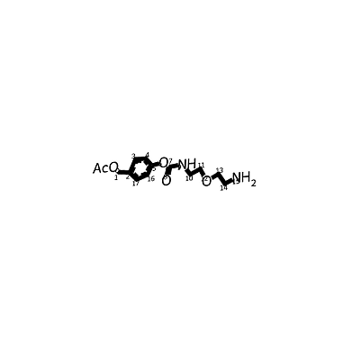 CC(=O)OCc1ccc(OC(=O)NCCOCCN)cc1